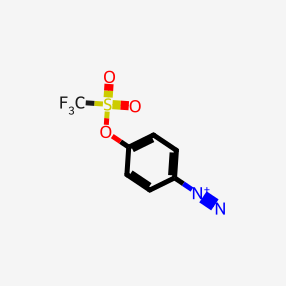 N#[N+]c1ccc(OS(=O)(=O)C(F)(F)F)cc1